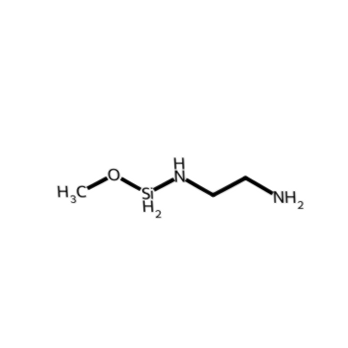 CO[SiH2]NCCN